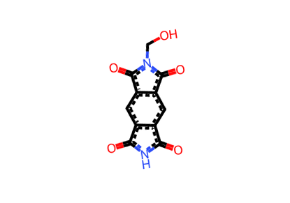 O=c1[nH]c(=O)c2cc3c(=O)n(CO)c(=O)c3cc12